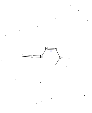 C=C=N/N=N\N(C)C